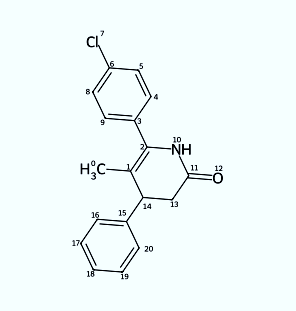 CC1=C(c2ccc(Cl)cc2)NC(=O)CC1c1ccccc1